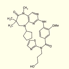 COc1cc(C(=O)N(CCCO)c2nccs2)ccc1Nc1ncc2c(n1)N(C1CCCC1)CC(C)(C)C(=O)N2C